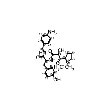 COC(C(C)C(=O)NC(Cc1ccc(O)cc1)C(=O)NCc1ccc(N)cc1)C1CCCN1C